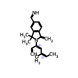 C=C/C(=C\C(C)=C/C)N1C(=C)c2ccc(C=N)cc2C1(C)C